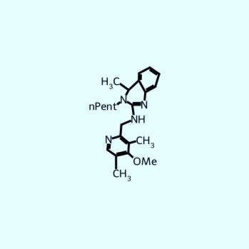 CCCCCN1C(NCc2ncc(C)c(OC)c2C)=Nc2ccccc2C1C